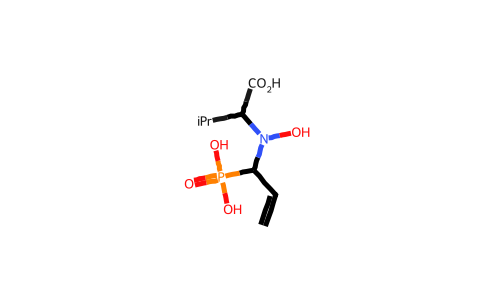 C=CC(N(O)C(C(=O)O)C(C)C)P(=O)(O)O